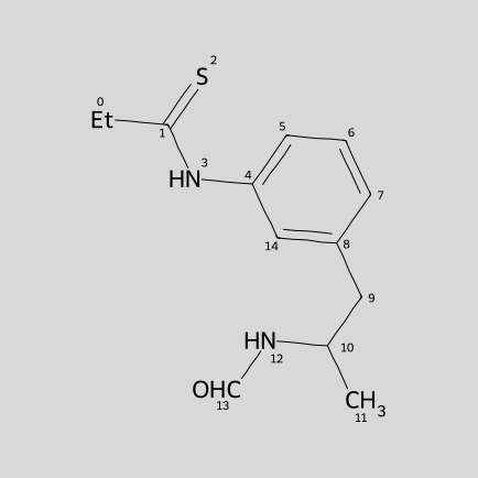 CCC(=S)Nc1cccc(CC(C)NC=O)c1